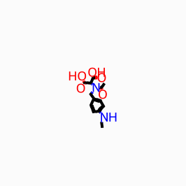 CCNc1ccc(CN(C(C)=O)C(C(=O)O)C(=O)O)cc1